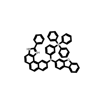 c1ccc(C2=[SH]c3c(ccc4ccc5ccc(N(c6cccc([Si](c7ccccc7)(c7ccccc7)c7ccccc7)c6)c6ccc7c(c6)oc6ccccc67)cc5c34)N2)cc1